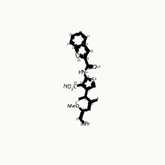 COC(/C=C(/C)C(C)c1csc(NC(=O)c2cc3ccccc3o2)c1C(=O)O)=C/C(C)C